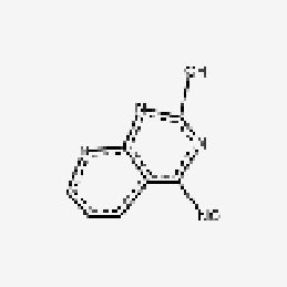 O=Nc1nc(O)nc2ncccc12